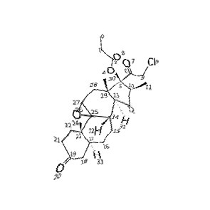 CCC(=O)O[C@@]1(C(=O)CCl)[C@@H](C)C[C@H]2[C@@H]3CC[C@H]4CC(=O)CC[C@]4(C)C34OC4C[C@@]21C